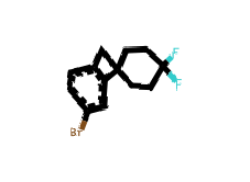 FC1(F)CCC2(CC1)Cc1ccc(Br)cc12